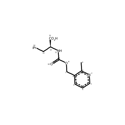 Cc1ncccc1COC(=O)N[C@@H](CC(C)C)C(=O)O